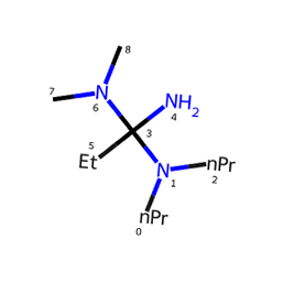 CCCN(CCC)C(N)(CC)N(C)C